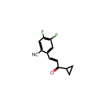 N#Cc1cc(F)c(F)cc1/C=C/C(=O)C1CC1